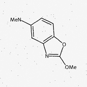 CNc1ccc2oc(OC)nc2c1